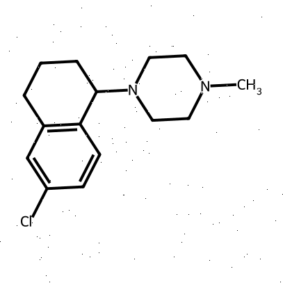 CN1CCN(C2CCCc3cc(Cl)ccc32)CC1